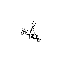 CN(Cc1nc2cc(Br)cnc2n1COCC[Si](C)(C)C)C(=O)O